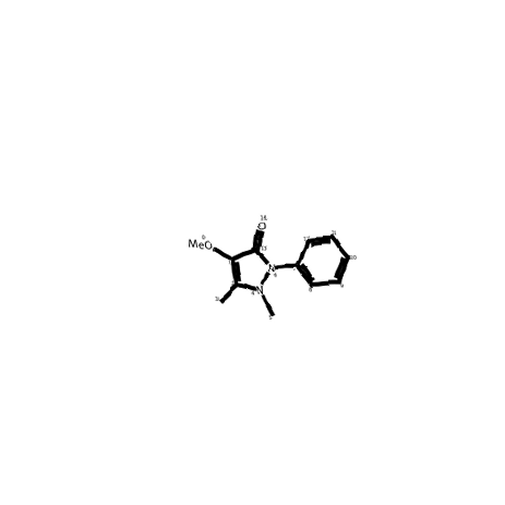 COc1c(C)n(C)n(-c2ccccc2)c1=O